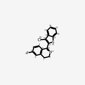 Fc1ccc2c(c1)CCN=C2c1sc2ccccc2c1Cl